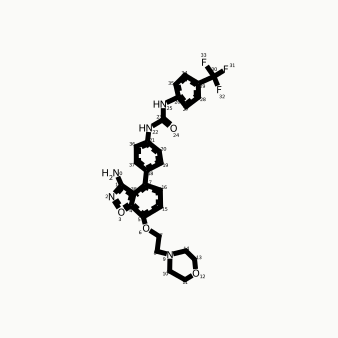 Nc1noc2c(OCCN3CCOCC3)ccc(-c3ccc(NC(=O)Nc4ccc(C(F)(F)F)cc4)cc3)c12